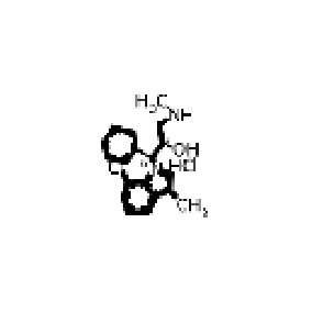 CNC[C@@H](O)[C@H](c1ccccc1)n1cc(C)c2cccc(Cl)c21.Cl